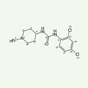 CCCN1CCC(NC(=O)Nc2ccc(Cl)cc2Cl)CC1